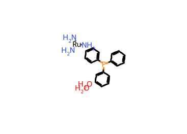 O.O.[NH2][Ru]([NH2])[NH2].c1ccc(P(c2ccccc2)c2ccccc2)cc1